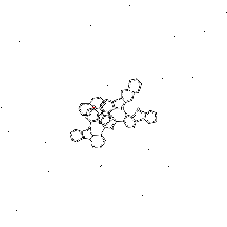 c1ccc(-n2c3ccccc3c3cccc(-c4nc(-c5ccc6c(oc7ccccc76)c5-n5c6cc7ccccc7cc6c6ccc7ccccc7c65)nc(-c5cccc6ccccc56)n4)c32)cc1